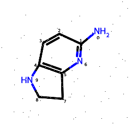 Nc1ccc2c(n1)CCN2